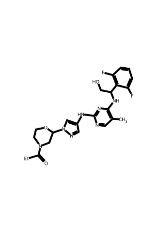 CCC(=O)N1CCOC(n2cc(Nc3ncc(C)c(NC(CO)c4c(F)cccc4F)n3)cn2)C1